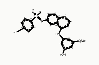 COc1cc(O)cc(Nc2ccnc3ccc(N=S(C)(=O)c4ccc(F)cc4)cc23)c1